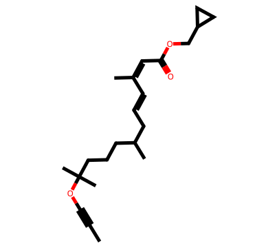 CC#COC(C)(C)CCCC(C)CC=CC(C)=CC(=O)OCC1CC1